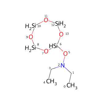 CCN(CC)O[SiH]1O[SiH2]O[SiH2]O[SiH2]O1